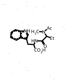 CCC(C(=O)NC(Cc1c[nH]c2ccccc12)C(=O)O)N(C)C(C)=O